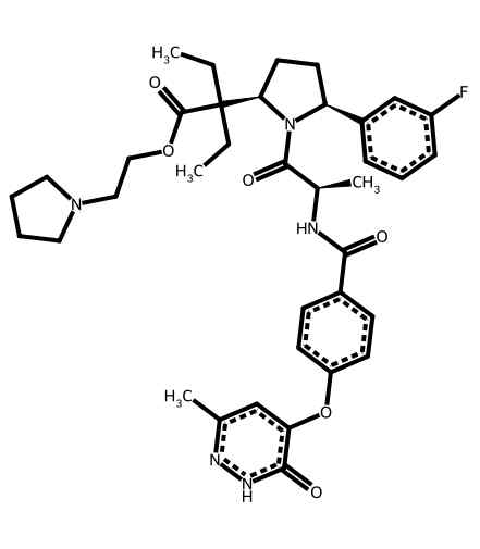 CCC(CC)(C(=O)OCCN1CCCC1)[C@H]1CC[C@@H](c2cccc(F)c2)N1C(=O)[C@@H](C)NC(=O)c1ccc(Oc2cc(C)n[nH]c2=O)cc1